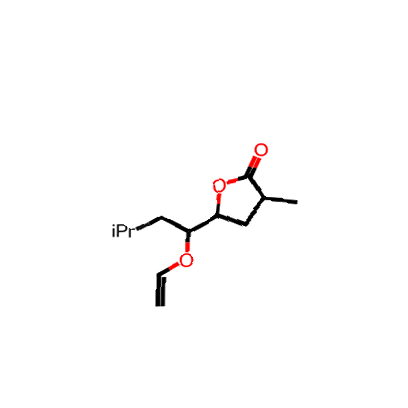 C=COC(CC(C)C)C1CC(C)C(=O)O1